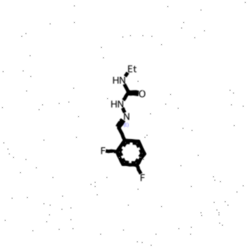 CCNC(=O)N/N=C/c1ccc(F)cc1F